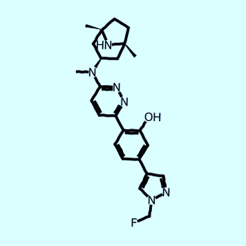 CN(c1ccc(-c2ccc(-c3cnn(CF)c3)cc2O)nn1)[C@H]1C[C@]2(C)CC[C@](C)(C1)N2